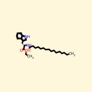 CCCCCCCCCCCCCCCC(=O)N[C@@H](Cc1c[nH]c2ccccc12)C(=O)OCC